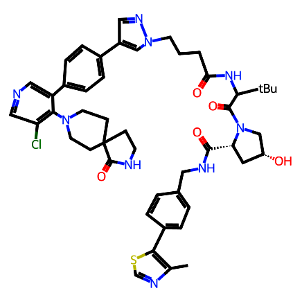 Cc1ncsc1-c1ccc(CNC(=O)[C@H]2C[C@@H](O)CN2C(=O)C(NC(=O)CCCn2cc(-c3ccc(-c4cncc(Cl)c4N4CCC5(CCNC5=O)CC4)cc3)cn2)C(C)(C)C)cc1